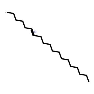 [CH2]CCCC/C=C/CCCCCCCCCCCC